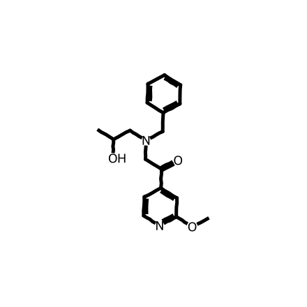 COc1cc(C(=O)CN(Cc2ccccc2)CC(C)O)ccn1